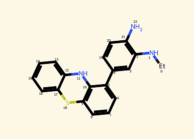 CCNc1cc(-c2cccc3c2Nc2ccccc2S3)ccc1N